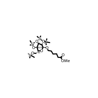 COC(=O)CCCCCO[C@H]1O[C@H](CO[Si](C)(C)C)[C@@H](O[Si](C)(C)C)[C@H](O[Si](C)(C)C)[C@@H]1O[Si](C)(C)C